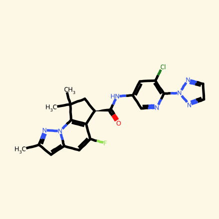 Cc1cc2cc(F)c3c(n2n1)C(C)(C)C[C@H]3C(=O)Nc1cnc(-n2nccn2)c(Cl)c1